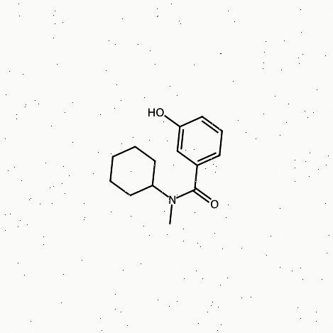 CN(C(=O)c1cccc(O)c1)C1CCCCC1